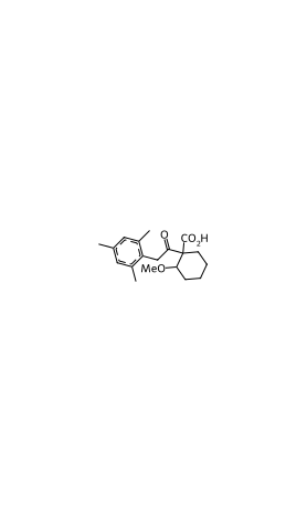 COC1CCCCC1(C(=O)O)C(=O)Cc1c(C)cc(C)cc1C